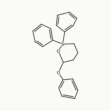 c1ccc(OC2CCC[Si](c3ccccc3)(c3ccccc3)O2)cc1